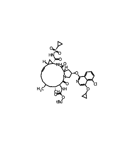 CC1CC/C=C\[C@@H]2C[C@@]2(C(=O)NS(=O)(=O)C2CC2)NC(=O)[C@@H]2C[C@@H](Oc3ncc(OC4CC4)c4c(Cl)cccc34)CN2C(=O)[C@@H](NC(=O)OC(C)(C)C)[C@H](C)C1